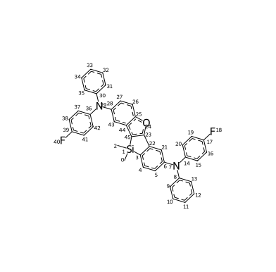 C[Si]1(C)c2ccc(N(c3ccccc3)c3ccc(F)cc3)cc2-c2oc3ccc(N(c4ccccc4)c4ccc(F)cc4)cc3c21